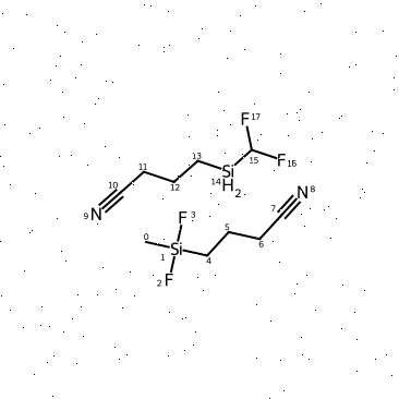 C[Si](F)(F)CCCC#N.N#CCCC[SiH2]C(F)F